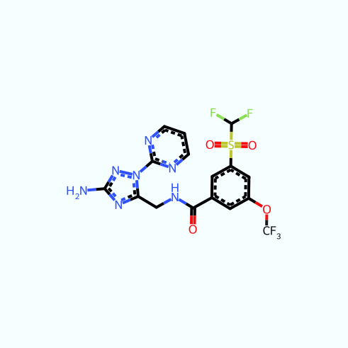 Nc1nc(CNC(=O)c2cc(OC(F)(F)F)cc(S(=O)(=O)C(F)F)c2)n(-c2ncccn2)n1